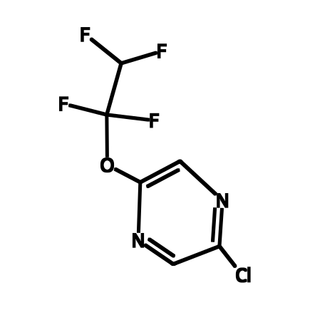 FC(F)C(F)(F)Oc1cnc(Cl)cn1